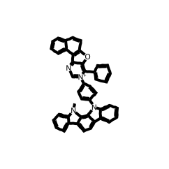 Cn1c2ccccc2c2ccc3c4ccccc4n(-c4ccc(-[n+]5cnc6c(oc7ccc8ccccc8c76)c5-c5ccccc5)cc4)c3c21